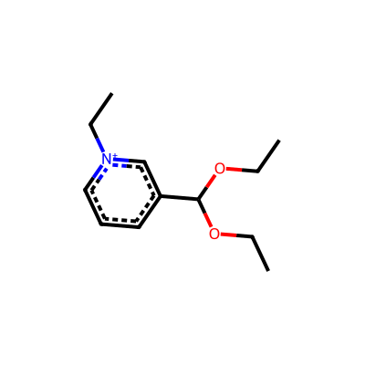 CCOC(OCC)c1ccc[n+](CC)c1